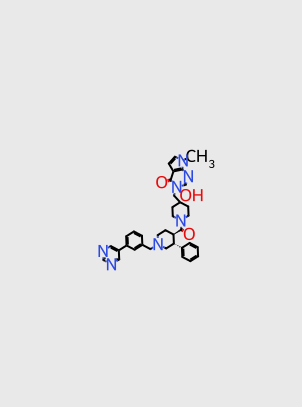 Cn1ccc2c(=O)n(CC3(O)CCN(C(=O)[C@@H]4CCN(Cc5cccc(-c6cncnc6)c5)C[C@H]4c4ccccc4)CC3)cnc21